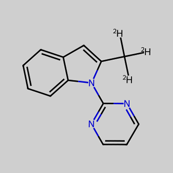 [2H]C([2H])([2H])c1cc2ccccc2n1-c1ncccn1